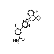 CNC(=O)c1ccc(F)c(-c2cnc(NCC3(c4ncccc4F)CCC3)nc2)c1